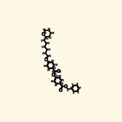 O=C(OCc1ccccc1)c1ccc(OC(=O)c2ccc(OCCCCCCC3CCCCO3)cc2)cc1